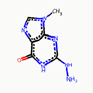 Cn1cnc2c(=O)[nH]c(NN)nc21